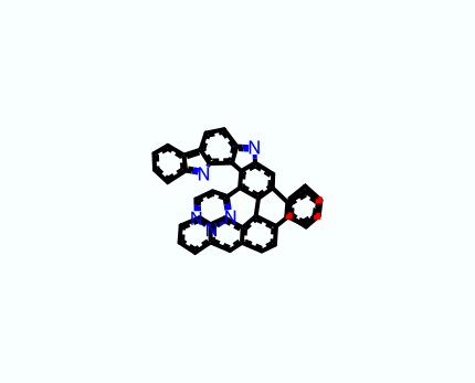 c1ccc(-c2cc3c(c(-c4ccnnn4)c2-c2c(-c4ccccc4)ccc4cc5ccccc5cc24)-c2c4c(ccc2=N3)=c2ccccc2=N4)cc1